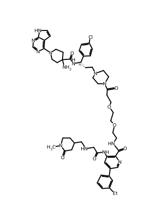 CCc1cccc(-c2cnc(C(=O)NCCOCCOCCC(=O)N3CCN(CC[C@H](NC(=O)C4(N)CCN(c5ncnc6[nH]ccc56)CC4)c4ccc(Cl)cc4)CC3)c(NC(=O)CNCC3CCN(C)C(=O)C3)c2)c1